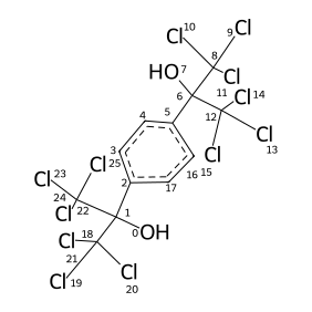 OC(c1ccc(C(O)(C(Cl)(Cl)Cl)C(Cl)(Cl)Cl)cc1)(C(Cl)(Cl)Cl)C(Cl)(Cl)Cl